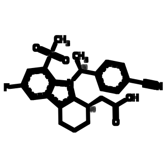 C[C@@H](c1ccc(C#N)cc1)n1c2c(c3cc(F)cc(S(C)(=O)=O)c31)CCC[C@@H]2CC(=O)O